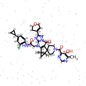 Cc1ncnc(C(=O)N2CCC3(CC2)c2c(n(CC(=O)Nc4ccc(C5CC5)cc4F)c4nc(C5=CCOCC5)nn4c2=O)[C@H]2C[C@H]23)c1O